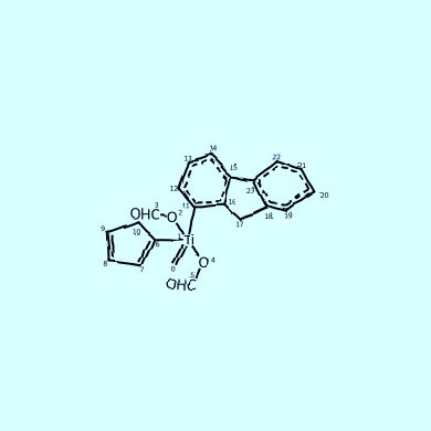 [CH2]=[Ti]([O]C=O)([O]C=O)([C]1=CC=CC1)[c]1cccc2c1Cc1ccccc1-2